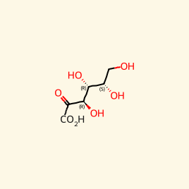 O=C(O)C(=O)[C@H](O)[C@H](O)[C@@H](O)CO